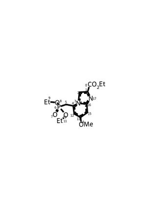 CCOC(=O)c1cn2c(CP(=O)(OCC)OCC)cc(OC)cc2n1